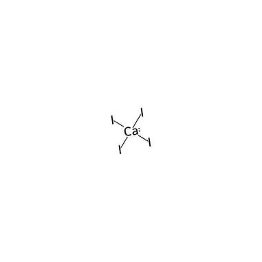 [I][Ca]([I])([I])[I]